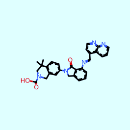 CC1(C)CN(C(=O)O)Cc2cc(N3Cc4cccc(N=Cc5ccnc6ncccc56)c4C3=O)ccc21